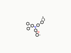 C=C1C=Cc2ccc(-c3ccc(N(c4ccc(-c5ccccc5)c(-c5ccccc5)c4)c4ccc5c(c4)oc4c(C)cccc45)cc3)cc2C1